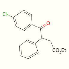 CCOC(=O)CC(C(=O)c1ccc(Cl)cc1)c1ccccc1